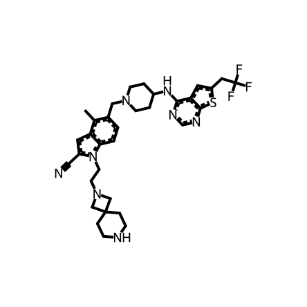 Cc1c(CN2CCC(Nc3ncnc4sc(CC(F)(F)F)cc34)CC2)ccc2c1cc(C#N)n2CCN1CC2(CCNCC2)C1